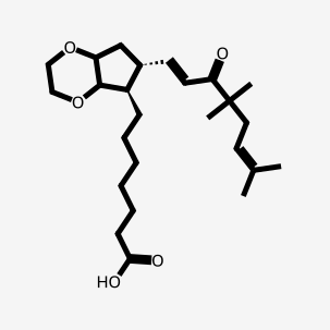 CC(C)=CCC(C)(C)C(=O)C=C[C@H]1CC2OCCOC2[C@@H]1CCCCCCC(=O)O